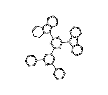 C1=Cc2c(n(-c3nc(-c4cc(-c5ccccc5)nc(-c5ccccc5)c4)nc(-n4c5ccccc5c5ccccc54)n3)c3ccccc23)CC1